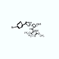 COC(=O)N[C@H](C(=O)N1C[C@@H](O)C[C@H]1c1nc(-c2ccc(Br)cc2)c[nH]1)C(C)C